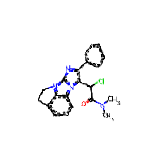 CN(C)C(=O)C(Cl)c1c(-c2ccccc2)nc2n3c4c(cccc4n12)CC3